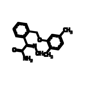 Cc1ccc(C)c(OCc2ccccc2/C(=N/O)C(N)=O)c1